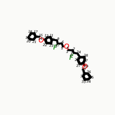 F[C@H](CCOCC[C@@H](F)Cc1ccc(OCc2ccccc2)cc1)Cc1ccc(OCc2ccccc2)cc1